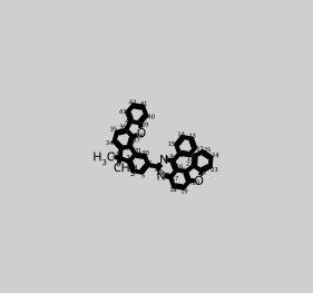 CC1(C)c2ccc(-c3nc(-c4ccccc4)c4c(ccc5oc6ccccc6c54)n3)cc2-c2c1ccc1c2oc2ccccc21